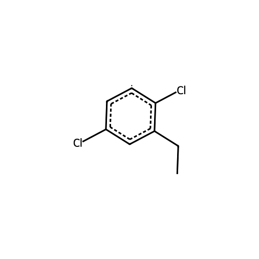 CCc1cc(Cl)c[c]c1Cl